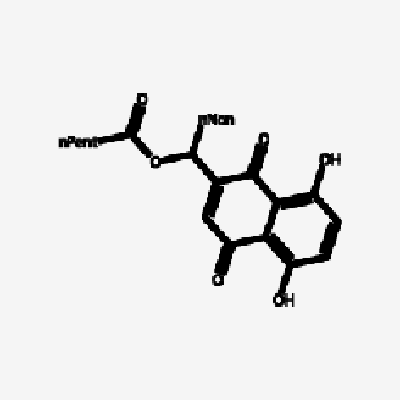 CCCCCCCCCC(OC(=O)CCCCC)C1=CC(=O)c2c(O)ccc(O)c2C1=O